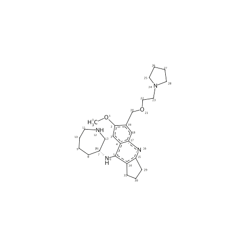 COc1cc2c(N[C@@H]3CCCCNC3)c3c(nc2cc1COCCN1CCCC1)CCC3